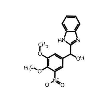 COc1cc(C(O)c2nc3ccccc3[nH]2)cc([N+](=O)[O-])c1OC